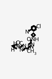 Cc1nc([C@@H](C)n2cc(C(=O)N[C@H]3C[C@@H](c4cc(Cl)ccc4C#N)C3)nn2)cnc1N1C[C@H]2CC2C1=O